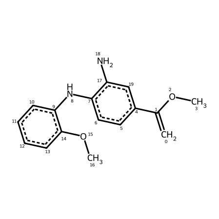 C=C(OC)c1ccc(Nc2ccccc2OC)c(N)c1